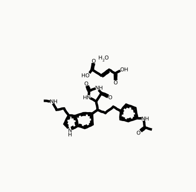 CNCCc1c[nH]c2ccc(C(CCc3ccc(NC(C)=O)cc3)C3NC(=O)NC3=O)cc12.O.O=C(O)C=CC(=O)O